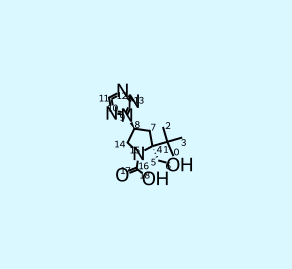 CC(C)(C)[C@]1(CO)C[C@H](n2ncnn2)CN1C(=O)O